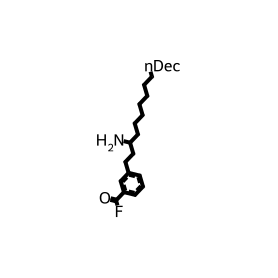 CCCCCCCCCCCCCCCCCC(N)CCc1cccc(C(=O)F)c1